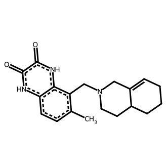 Cc1ccc2[nH]c(=O)c(=O)[nH]c2c1CN1CCC2CCCC=C2C1